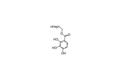 CCCCCCCCOC(=O)c1ccc(O)c(O)c1O